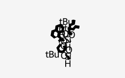 C=CCC(CC)(CC=C)C(=O)O[C@H]1C[C@H](C(C)(C)C)C=C2C=CC[C@H]([C@](C)(C[C@H]3C[C@H](C(C)(C)C)C(O[SiH](C)C)C(=O)O3)O[SiH](C)C)[C@H]21